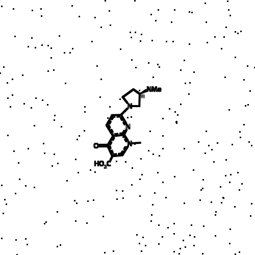 CN[C@@H]1CCN(c2ccc3c(=O)c(C(=O)O)cn(C)c3n2)C1